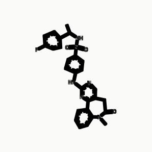 CC(NS(=O)(=O)c1ccc(Nc2ncc3c(n2)-c2ccccc2N(C)C(=O)C3)cc1)c1ccc(F)cc1